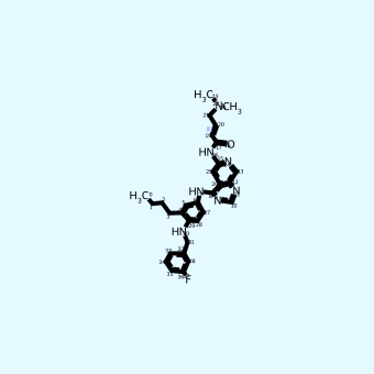 CCCCc1cc(Nc2ncnc3cnc(NC(=O)/C=C/CN(C)C)cc23)ccc1NCc1cccc(F)c1